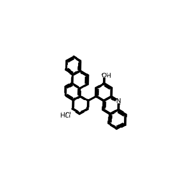 Cl.Oc1cc(C2CCCc3ccc4c(ccc5ccccc54)c32)c2cc3ccccc3nc2c1